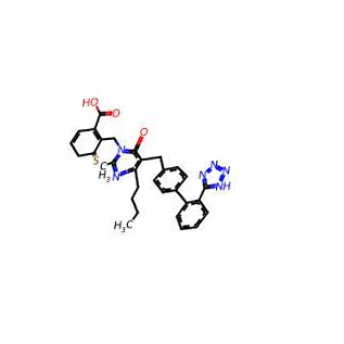 CCCCc1nc(C)n(CC2=C(C(=O)O)C=CCC2=S)c(=O)c1Cc1ccc(-c2ccccc2-c2nnn[nH]2)cc1